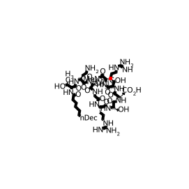 CCCCCCCCCCCCCCCC(=O)NC(C(=O)N[C@@H](CC(N)=O)C(=O)N[C@@H](C)C(=O)NCC(=O)N[C@@H](CCCNC(=N)N)C(=O)N[C@@H](CO)C(=O)N[C@@H](CC(=O)O)C(=O)N[C@H](C(=O)N[C@@H](CCCNC(=N)N)C(=O)NC)[C@@H](C)O)[C@@H](C)O